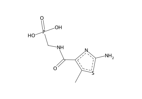 Cc1sc(N)nc1C(=O)NCP(=O)(O)O